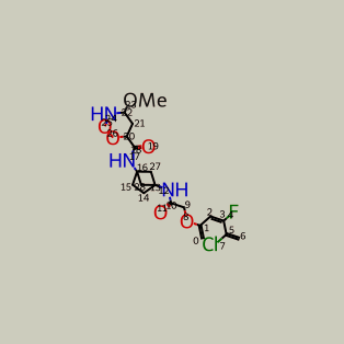 C=C(/C=C(/F)C(=C)Cl)OCC(=O)NC12CCC(NC(=O)C3CC(OC)NOO3)(C1)C2